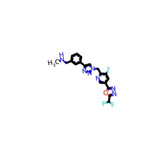 CNCc1cccc(-c2cn(Cc3ncc(-c4nnc(C(F)F)o4)cc3F)nn2)c1